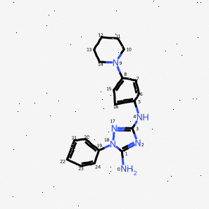 Nc1nc(Nc2ccc(N3CCCCC3)cc2)nn1-c1ccccc1